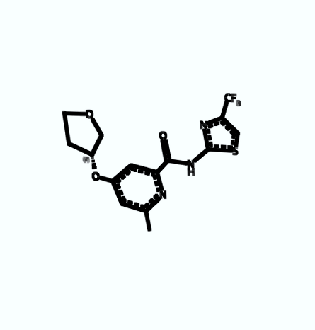 Cc1cc(O[C@@H]2CCOC2)cc(C(=O)Nc2nc(C(F)(F)F)cs2)n1